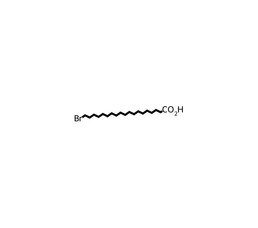 O=C(O)CCCCCCCCCCCCCCCCCCBr